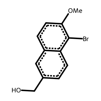 COc1ccc2cc(CO)ccc2c1Br